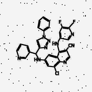 N#Cc1cnc2c(Cl)cc(NC(c3cccnc3)c3cn(-c4ccccc4)nn3)cc2c1Nc1cnc(F)c(F)c1